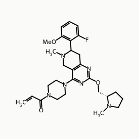 C=CC(=O)N1CCN(c2nc(OC[C@@H]3CCCN3C)nc3c2CN(C)C(c2c(F)cccc2OC)C3)CC1